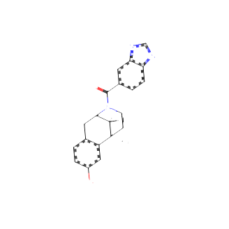 CC[C@]12CCN(C(=O)c3ccc4nc[nH]c4c3)[C@H](Cc3ccc(O)cc31)[C@H]2C